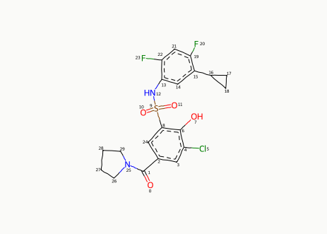 O=C(c1cc(Cl)c(O)c(S(=O)(=O)Nc2cc(C3CC3)c(F)cc2F)c1)N1CCCC1